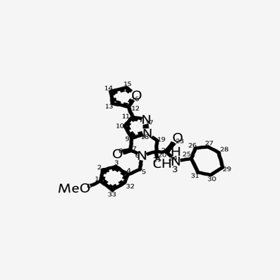 COc1ccc(CN2C(=O)c3cc(-c4ccco4)nn3CC2(C)C(=O)NC2CCCCCC2)cc1